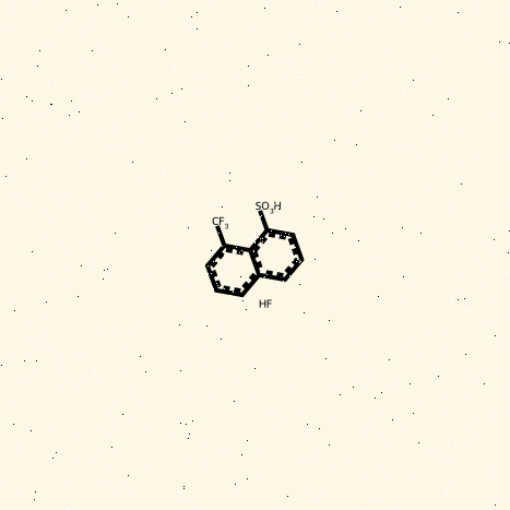 F.O=S(=O)(O)c1cccc2cccc(C(F)(F)F)c12